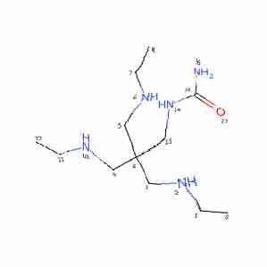 CCNCC(CNCC)(CNCC)CNC(N)=O